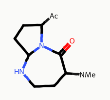 CNC1CCNC2CCC(C(C)=O)N2C1=O